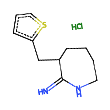 Cl.N=C1NCCCCC1Cc1cccs1